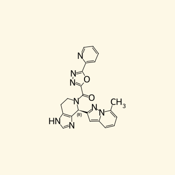 Cc1cccc2cc([C@H]3c4nc[nH]c4CCN3C(=O)c3nnc(-c4ccccn4)o3)nn12